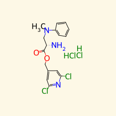 CN(C[C@H](N)C(=O)OCc1cc(Cl)nc(Cl)c1)c1ccccc1.Cl.Cl